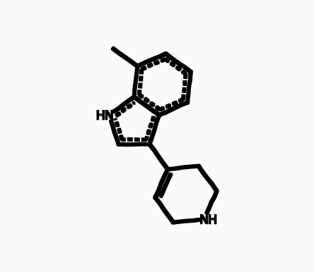 Cc1cccc2c(C3=CCNCC3)c[nH]c12